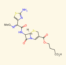 CON=C(C(=O)NC1C(=O)N2C=C(C(=O)OCCCC(=O)O)CS[C@H]12)c1csc(N)n1